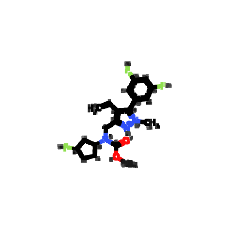 C=Cc1c(CN(C(=O)OC(C)(C)C)[C@H]2CC[C@@H](F)C2)nn(C)c1-c1cc(F)cc(F)c1